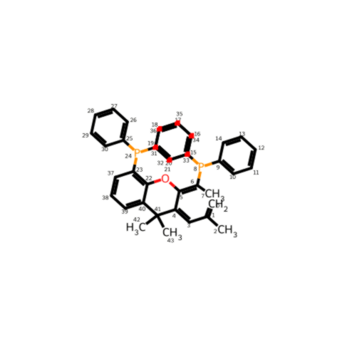 C=C(C)/C=C1\C(=C(/C)P(c2ccccc2)c2ccccc2)Oc2c(P(c3ccccc3)c3ccccc3)cccc2C1(C)C